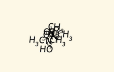 CCCC(c1c(C)nc(-c2c(CC)cccc2CC)nc1OC)N1CCC(CO)CC1